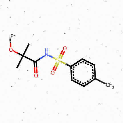 CC(C)OC(C)(C)C(=O)NS(=O)(=O)c1ccc(C(F)(F)F)cc1